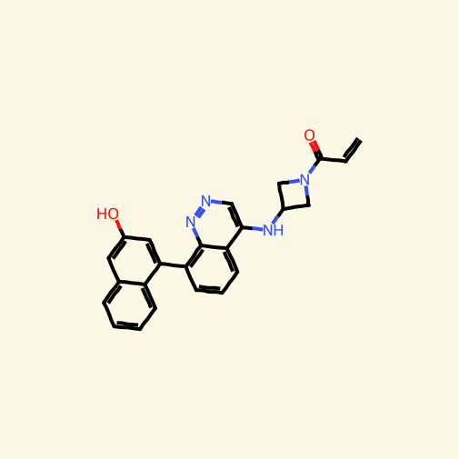 C=CC(=O)N1CC(Nc2cnnc3c(-c4cc(O)cc5ccccc45)cccc23)C1